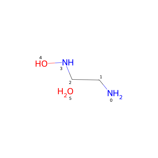 NCCNO.O